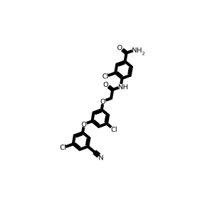 N#Cc1cc(Cl)cc(Oc2cc(Cl)cc(OCC(=O)Nc3ccc(C(N)=O)cc3Cl)c2)c1